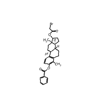 Cc1c(OC(=O)c2ccccc2)ccc2c1CC[C@@H]1[C@@H]2CC[C@]2(C)[C@@H](OC(=O)CBr)CC[C@@H]12